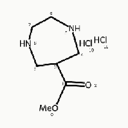 COC(=O)C1CNCCNC1.Cl.Cl